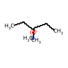 CCCCCCCC/C=C\CCCCCCCCC1C(CCCCCCC/C=C\CCCCCCCC)C1OC(=O)CCCN(C)C